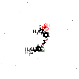 CC(C)[C@]1(OC(=O)O)Cc2cc(OCCCOc3ccc(CC(C)(C)C)cc3Cl)ccc2O1